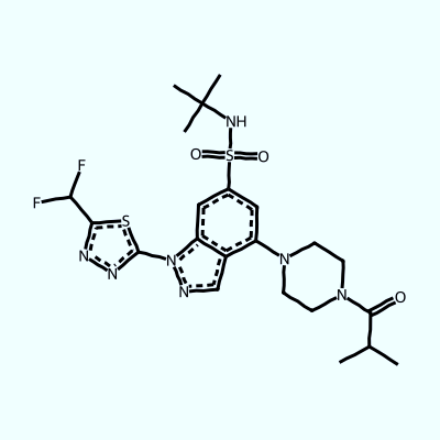 CC(C)C(=O)N1CCN(c2cc(S(=O)(=O)NC(C)(C)C)cc3c2cnn3-c2nnc(C(F)F)s2)CC1